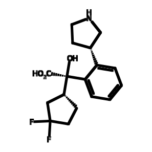 O=C(O)[C@](O)(c1ccccc1[C@@H]1CCNC1)[C@@H]1CCC(F)(F)C1